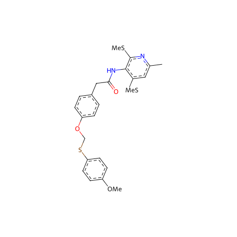 COc1ccc(SCOc2ccc(CC(=O)Nc3c(SC)cc(C)nc3SC)cc2)cc1